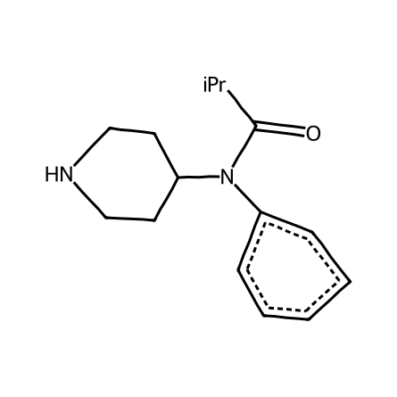 CC(C)C(=O)N(c1ccccc1)C1CCNCC1